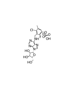 Cc1cc(OP(=O)(O)O)c(F)c(CNc2ncnc3c2ncn3[C@@H]2O[C@H](CO)[C@@H](O)[C@H]2O)c1Cl